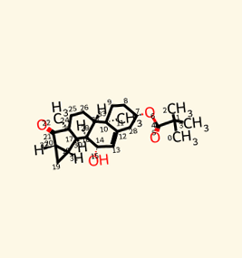 CC(C)(C)C(=O)O[C@H]1CC[C@@]2(C)C(=C[C@H](O)[C@H]3[C@@H]4[C@@H]5C[C@@H]5C(=O)[C@@]4(C)CC[C@@H]32)C1